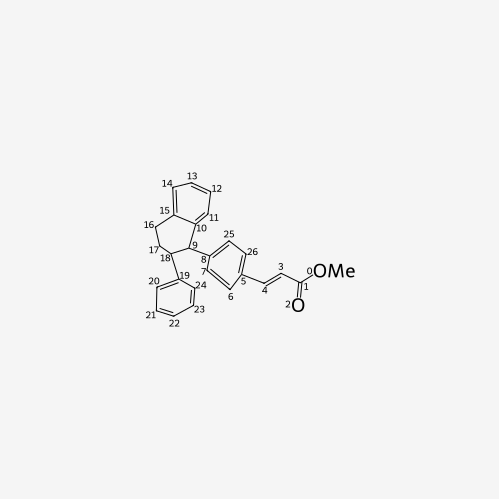 COC(=O)/C=C/c1ccc(C2c3ccccc3CCC2c2ccccc2)cc1